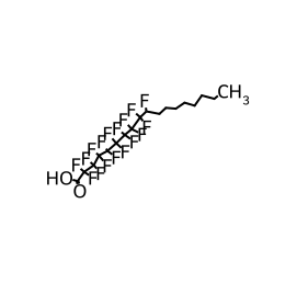 CCCCCCCCC(F)C(F)(F)C(F)(F)C(F)(F)C(F)(F)C(F)(F)C(F)(F)C(F)(F)C(F)(F)C(=O)O